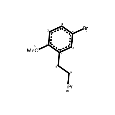 COc1ccc(Br)cc1CCC(C)C